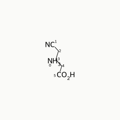 N.N#CCCCC(=O)O